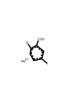 O=C([O-])c1cc(I)ccc1[O-].[Li+].[Na+]